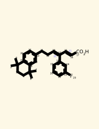 CC1(C)CCC(C)(C)c2cc(CC/C=C(/C=C/C(=O)O)c3cccc(F)c3)ccc21